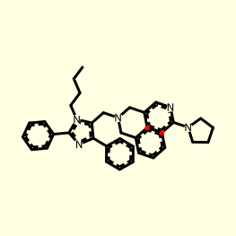 CCCCn1c(-c2ccccc2)nc(-c2ccccc2)c1CN(Cc1ccccc1)Cc1ccc(N2CCCC2)nc1